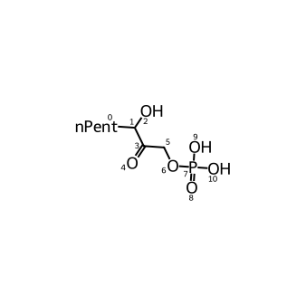 CCCCCC(O)C(=O)COP(=O)(O)O